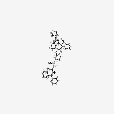 N=C(/N=c1/nc(-c2ccccc2)c2ccccc2[nH]1)c1ccc2cc(-n3c4ccccc4c4ccc5c(c6ccccc6n5-c5cccnc5)c43)ccc2c1